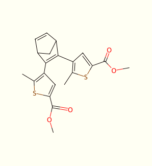 COC(=O)c1cc(C2=C(c3cc(C(=O)OC)sc3C)C3C=CC2C3)c(C)s1